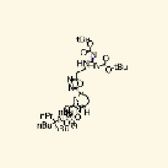 CCCCN(OS(=O)(=O)ON1C(=O)N2C[C@@H]1CC[C@H]2c1nnc(CCN/C(=N\C(=O)OC(C)(C)C)NC(=O)OC(C)(C)C)o1)C(CCC)(CCCC)CCCC